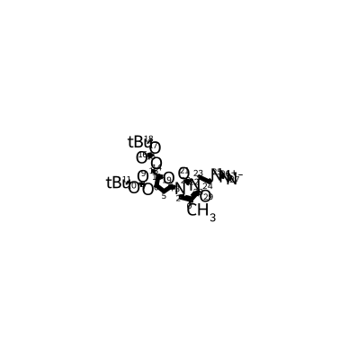 Cc1cn(C2C[C@H](OC(=O)OC(C)(C)C)[C@@H](COC(=O)OC(C)(C)C)O2)c(=O)n(CCN=[N+]=[N-])c1=O